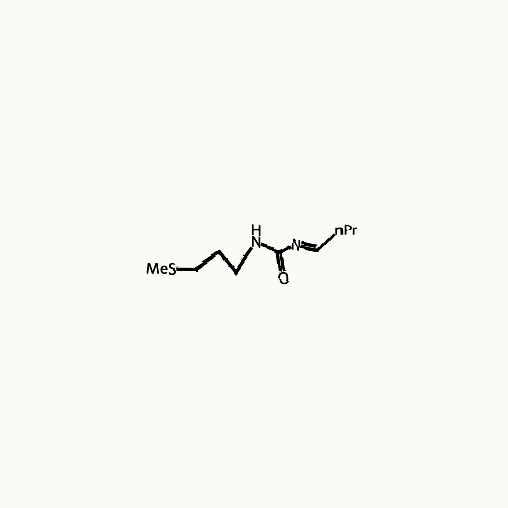 CCC/C=N/C(=O)NCCCSC